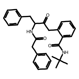 CC(C)(C)NC(=O)c1ccccc1CC(=O)C(Cc1ccccc1)NC(=O)Cc1ccccc1